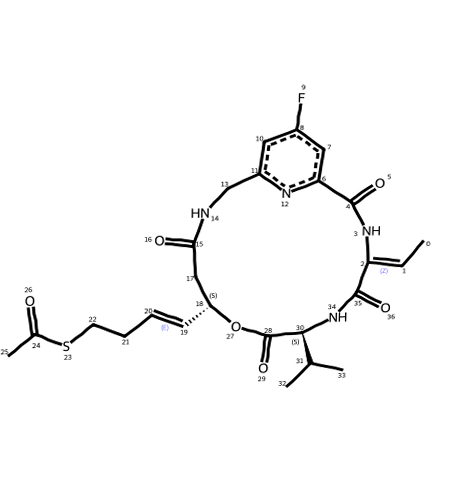 C/C=C1\NC(=O)c2cc(F)cc(n2)CNC(=O)C[C@@H](/C=C/CCSC(C)=O)OC(=O)[C@H](C(C)C)NC1=O